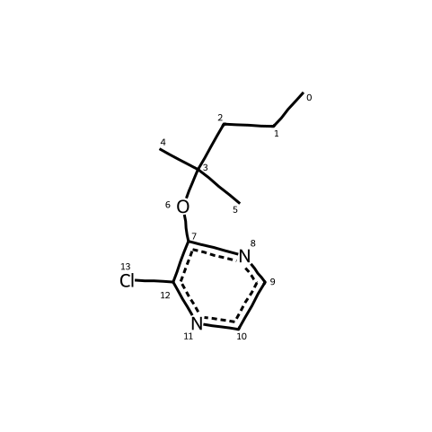 CCCC(C)(C)Oc1nccnc1Cl